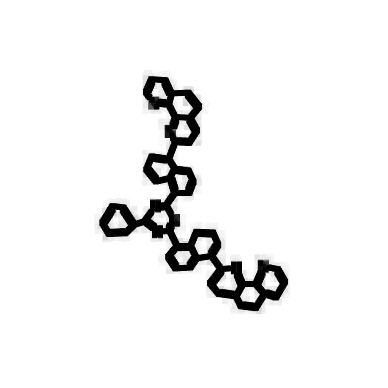 c1ccc(-c2nc(-c3cccc4c(-c5ccc6ccc7cccnc7c6n5)cccc34)nc(-c3cccc4c(-c5ccc6ccc7cccnc7c6n5)cccc34)n2)cc1